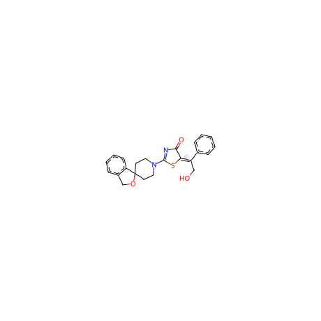 O=C1N=C(N2CCC3(CC2)OCc2ccccc23)S/C1=C(\CO)c1ccccc1